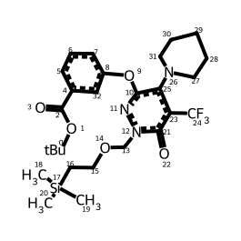 CC(C)(C)OC(=O)c1cccc(Oc2nn(COCC[Si](C)(C)C)c(=O)c(C(F)(F)F)c2N2CCCCC2)c1